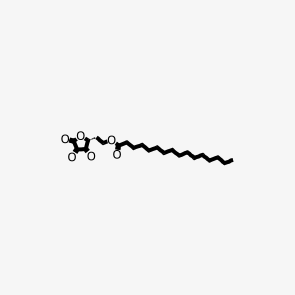 CCCCCCCCCCCCCCCC(=O)OCC[C@H]1OC(=O)C(=O)C1=O